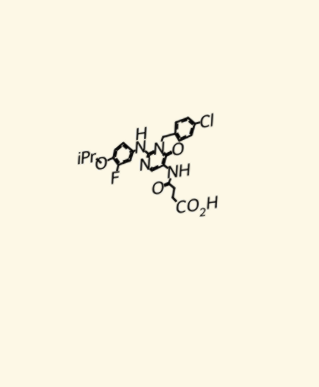 CC(C)Oc1ccc(Nc2ncc(NC(=O)CCC(=O)O)c(=O)n2Cc2ccc(Cl)cc2)cc1F